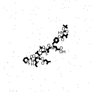 CC[C@H](C)[C@H](NC(=O)[C@H]1CCCCN1C)C(=O)N(COC(=O)CC(C)C)[C@H](C[C@@H](OC(C)=O)c1nc(C(=O)N[C@@H](Cc2ccc(OC(=O)[C@H](NC(=O)OC(C)(C)C)C(C)C)cc2)C[C@H](C)C(=O)O)cs1)C(C)C